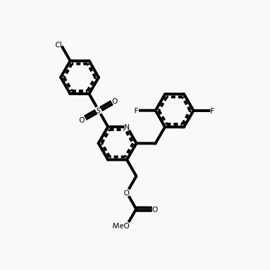 COC(=O)OCc1ccc(S(=O)(=O)c2ccc(Cl)cc2)nc1Cc1cc(F)ccc1F